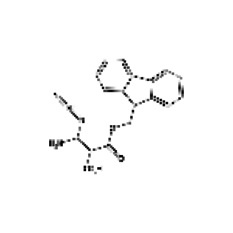 [N-]=[N+]=NC(N)C(C(=O)O)C(=O)OCC1c2ccccc2-c2ccccc21